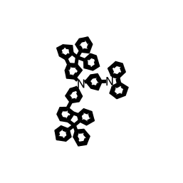 c1ccc(C2(c3ccccc3)c3ccccc3-c3ccc(N(c4ccc(-c5cccc6c5-c5ccccc5C6(c5ccccc5)c5ccccc5)cc4)c4ccc(-n5c6ccccc6c6ccccc65)cc4)cc32)cc1